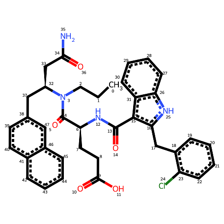 CCCN(C(=O)[C@H](CCC(=O)O)NC(=O)c1c(Cc2ccccc2Cl)[nH]c2ccccc12)[C@H](CC(N)=O)Cc1ccc2ccccc2c1